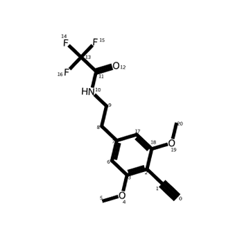 C#Cc1c(OC)cc(CCNC(=O)C(F)(F)F)cc1OC